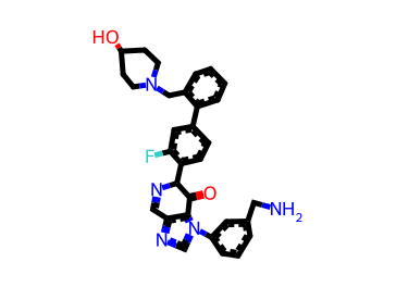 NCc1cccc(-n2cnc3c2C(=O)C(c2ccc(-c4ccccc4CN4CCC(O)CC4)cc2F)N=C3)c1